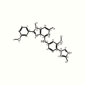 COc1cccc(-c2nc3c(Nc4ccc(-n5cnc(C)n5)c(OC)c4)nc(C)cc3n2C)c1